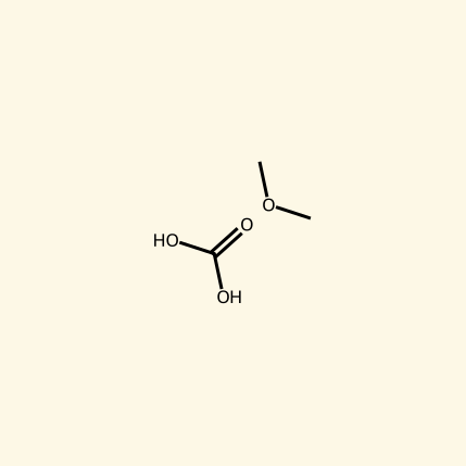 COC.O=C(O)O